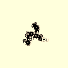 CC(C)(C)OC(=O)N1CC[C@@H](c2ccc(F)c(C(=O)NCc3c(F)cccc3F)c2)[C@@H](COc2ccc3c(c2)OCO3)C1